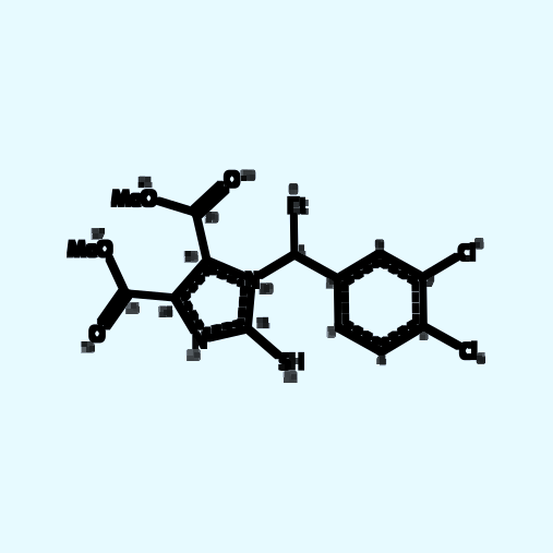 CCC(c1ccc(Cl)c(Cl)c1)n1c(S)nc(C(=O)OC)c1C(=O)OC